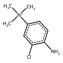 C[N+](C)(C)c1ccc(N)c(Cl)c1